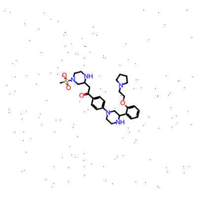 CS(=O)(=O)N1CCNC(CC(=O)c2ccc(N3CCNC(c4ccccc4OCCN4CCCC4)C3)cc2)C1